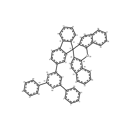 c1ccc(-c2cc(-c3ccc4c(c3)C3(c5ccccc5-4)c4ccc5ccccc5c4Oc4c3ccc3ccccc43)nc(-c3ccccc3)n2)cc1